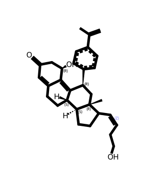 C=C(C)c1ccc([C@H]2C[C@]3(C)C(/C=C\CCO)CC[C@H]3[C@@H]3CCC4=CC(=O)C[C@@H](O)C4=C32)cc1